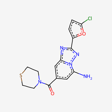 Nc1cc(C(=O)N2CCSCC2)cc2nc(-c3ccc(Cl)o3)nn12